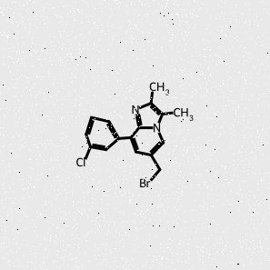 Cc1nc2c(-c3cccc(Cl)c3)cc(CBr)cn2c1C